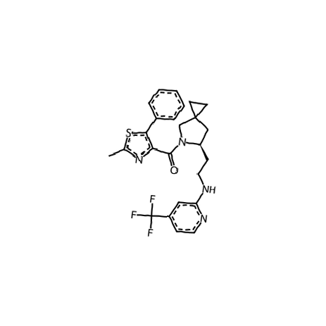 Cc1nc(C(=O)N2CC3(CC3)C[C@H]2CCNc2cc(C(F)(F)F)ccn2)c(-c2ccccc2)s1